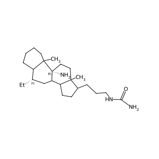 CC[C@H]1CC2C3CCC(CCCNC(N)=O)C3(C)CC[C@]2(N)C2(C)CCCCC12